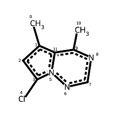 Cc1cc(Cl)n2ncnc(C)c12